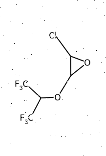 FC(F)(F)C(OC1OC1Cl)C(F)(F)F